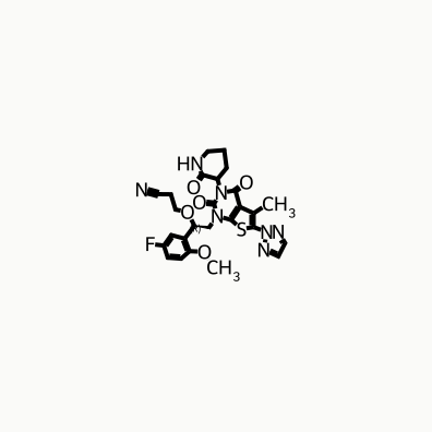 COc1ccc(F)cc1[C@H](Cn1c(=O)n(C2CCCNC2=O)c(=O)c2c(C)c(-n3nccn3)sc21)OCCC#N